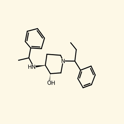 CCC(c1ccccc1)N1CC[C@H](NC(C)c2ccccc2)[C@@H](O)C1